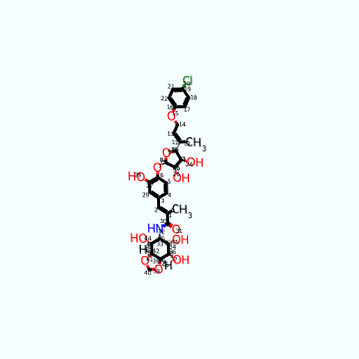 CC(=Cc1ccc(O[C@@H]2O[C@H](C(C)=CCOc3ccc(Cl)cc3)[C@@H](O)[C@@H]2O)c(O)c1)C(=O)N[C@@H]1[C@H](O)[C@@H](O)[C@H]2OCO[C@H]2[C@@H]1O